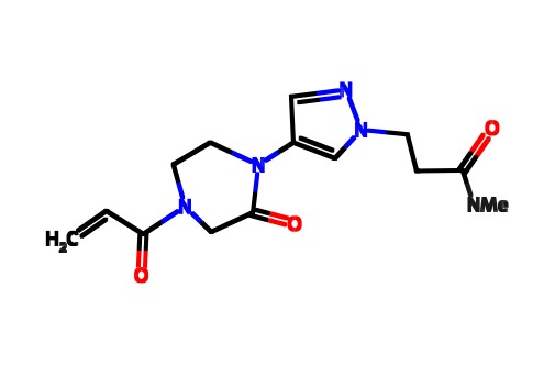 C=CC(=O)N1CCN(c2cnn(CCC(=O)NC)c2)C(=O)C1